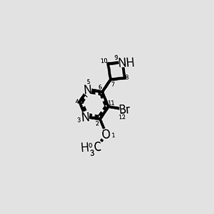 COc1ncnc(C2CNC2)c1Br